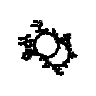 CN[C@@H](CC(=O)O)C(=O)N[C@H]1CSSC[C@@H](C(=O)N[C@H](C(N)=O)[C@@H](C)O)NC(=O)[C@H](Cc2c[nH]c3ccccc23)NC(=O)[C@@H]2CCSSCCC[C@H](NC(=O)[C@H](C)NC1=O)C(=O)N[C@@H](Cc1c[nH]cn1)C(=O)N[C@@H](CC(C)C)C(=O)NCC(=O)N[C@@H](CCC(=O)O)C(=O)N[C@@H](CC(C)C)C(=O)N2